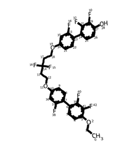 CCOc1ccc(-c2ccc(OCCC(F)(F)CCOc3ccc(-c4ccc(O)c(F)c4F)c(F)c3)cc2F)c(F)c1F